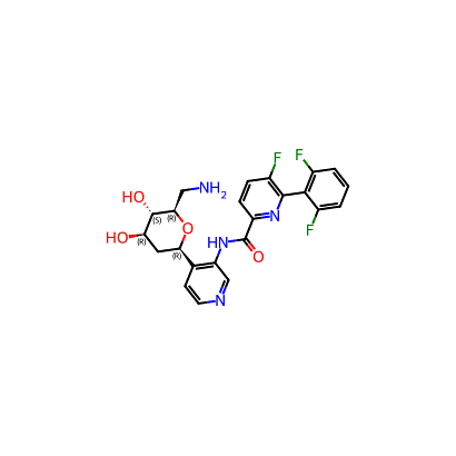 NC[C@H]1O[C@@H](c2ccncc2NC(=O)c2ccc(F)c(-c3c(F)cccc3F)n2)C[C@@H](O)[C@@H]1O